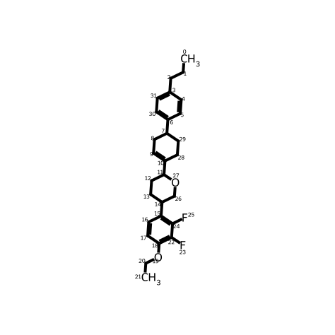 CCCc1ccc(C2CC=C(C3CCC(c4ccc(OCC)c(F)c4F)CO3)CC2)cc1